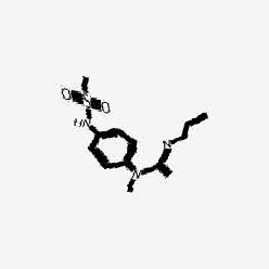 C=CCN=C(C)N(C)c1ccc(NS(C)(=O)=O)cc1